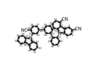 N#Cc1ccc2c(c1)c1c(C#N)cccc1n2-c1ccccc1-c1cccc(-c2ccc(C#N)c(-n3c4ccccc4c4ccccc43)c2)c1